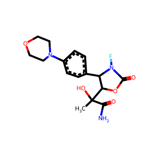 CC(O)(C(N)=O)C1OC(=O)N(F)C1c1ccc(N2CCOCC2)cc1